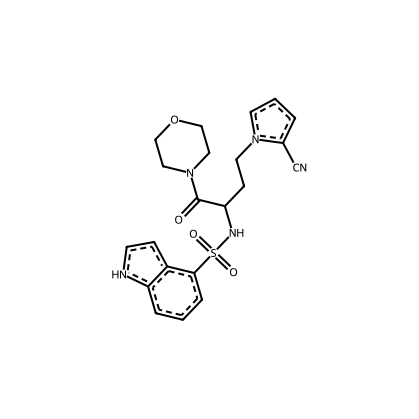 N#Cc1cccn1CCC(NS(=O)(=O)c1cccc2[nH]ccc12)C(=O)N1CCOCC1